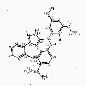 CCOc1cc(OC(C)C)c(F)c(C(Nc2ccc(C(=N)N)cc2)c2nc(-c3ccccc3SC)n[nH]2)c1